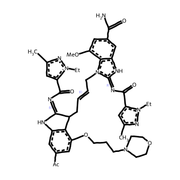 CCn1nc(C)cc1C(=O)/N=C1/Nc2cc(C(C)=O)cc(OCCCN3CCOCC3)c2C1C/C=C/Cn1/c(=N/C(=O)c2cc(C)nn2CC)[nH]c2cc(C(N)=O)cc(OC)c21